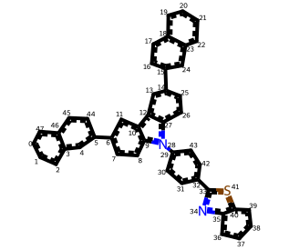 c1ccc2cc(-c3ccc4c(c3)c3cc(-c5ccc6ccccc6c5)ccc3n4-c3ccc(-c4nc5ccccc5s4)cc3)ccc2c1